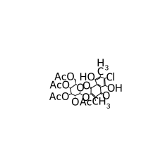 CC(=O)OC[C@H]1O[C@@H](OC2=C(C)C(=O)c3c(O)c(Cl)c(C)c(O)c3C2=O)[C@H](OC(C)=O)[C@@H](OC(C)=O)[C@@H]1OC(C)=O